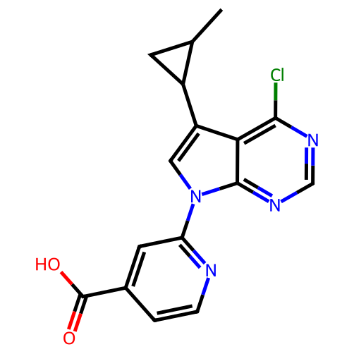 CC1CC1c1cn(-c2cc(C(=O)O)ccn2)c2ncnc(Cl)c12